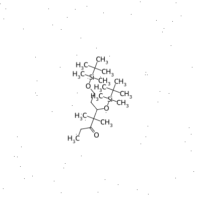 CCC(=O)C(C)(C)C(CCO[Si](C)(C)C(C)(C)C)O[Si](C)(C)C(C)(C)C